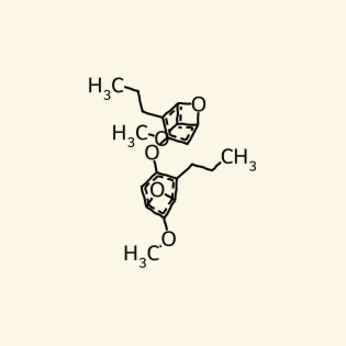 CCCc1c(Oc2cc3c(OC)c(c2CCC)O3)cc2c(OC)c1O2